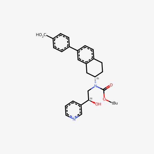 CC(C)(C)OC(=O)N(C[C@@H](O)c1cccnc1)[C@H]1CCc2ccc(-c3ccc(C(=O)O)cc3)cc2C1